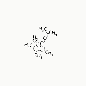 CCC(C)COCO[C@H]1C[C@@H](C)C=C2C(C)C[C@H](C)[C@H](CC)[C@H]21